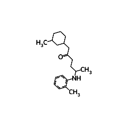 Cc1ccccc1NC(C)CCC(=O)CC1CCCC(C)C1